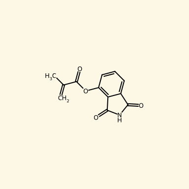 C=C(C)C(=O)Oc1cccc2c1C(=O)NC2=O